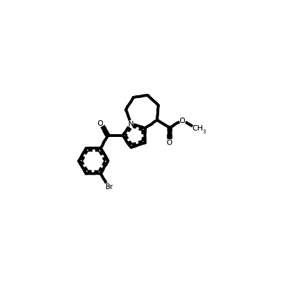 COC(=O)C1CCCCn2c(C(=O)c3cccc(Br)c3)ccc21